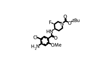 COc1cc(N)c(Cl)cc1C(=O)N[C@@H]1CCN(C(=O)OC(C)(C)C)C[C@@H]1F